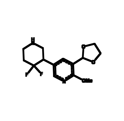 COc1ncc(C2CNCCC2(F)F)cc1C1OCCO1